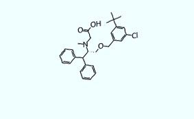 CN(CC(=O)O)[C@H](COCc1cc(Cl)cc(C(C)(C)C)c1)C(c1ccccc1)c1ccccc1